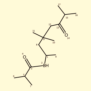 CC(BC(=O)C(C)C)CC(C)(C)CC(=O)C(C)C